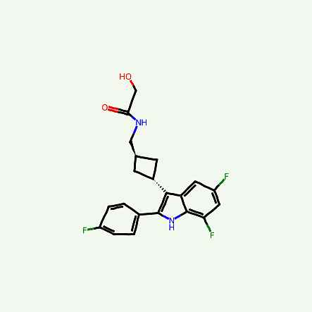 O=C(CO)NC[C@H]1C[C@H](c2c(-c3ccc(F)cc3)[nH]c3c(F)cc(F)cc32)C1